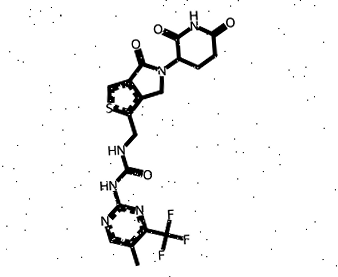 Cc1cnc(NC(=O)NCc2scc3c2CN(C2CCC(=O)NC2=O)C3=O)nc1C(F)(F)F